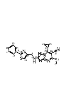 CSc1nc2nc(NCc3csc(-c4ccccc4)n3)nn2c(C2CC2)c1C#N